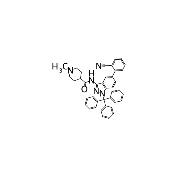 CN1CCC(C(=O)Nc2nn(C(c3ccccc3)(c3ccccc3)c3ccccc3)c3ccc(-c4ccccc4C#N)cc23)CC1